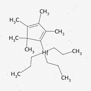 CC[CH2][Hf]([CH2]CC)([CH2]CC)[C]1=C(C)C(C)=C(C)C1(C)C